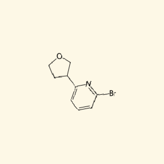 Brc1cccc(C2CCOC2)n1